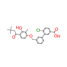 Cc1c(OCc2cccc(-c3cc(C(=O)O)ccc3Cl)c2)ccc(C(=O)CC(C)(C)C)c1O